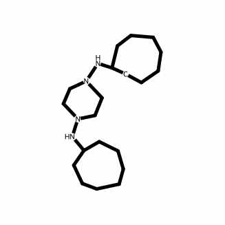 C1CCCC(NN2CCN(NC3CCCCCCC3)CC2)CCC1